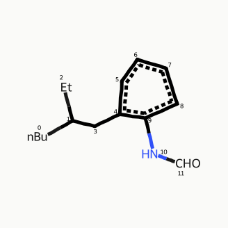 CCCCC(CC)Cc1ccccc1NC=O